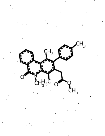 COC(=O)Cc1c(-c2ccc(C)cc2)c(C)c2c3ccccc3c(=O)n(C)c2c1C